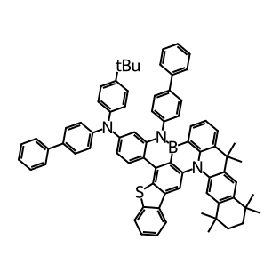 CC(C)(C)c1ccc(N(c2ccc(-c3ccccc3)cc2)c2ccc3c(c2)N(c2ccc(-c4ccccc4)cc2)B2c4cccc5c4N(c4cc6c(cc4C5(C)C)C(C)(C)CCC6(C)C)c4cc5c(sc6ccccc65)c-3c42)cc1